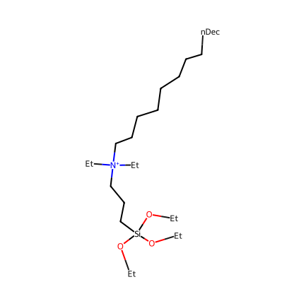 CCCCCCCCCCCCCCCCCC[N+](CC)(CC)CCC[Si](OCC)(OCC)OCC